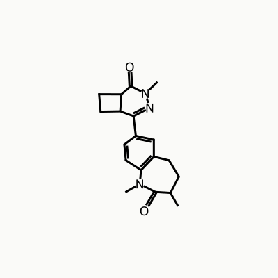 CC1CCc2cc(C3=NN(C)C(=O)C4CCC34)ccc2N(C)C1=O